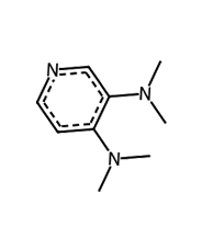 CN(C)c1ccncc1N(C)C